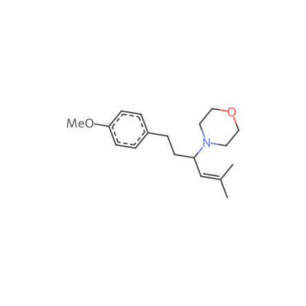 COc1ccc(CCC(C=C(C)C)N2CCOCC2)cc1